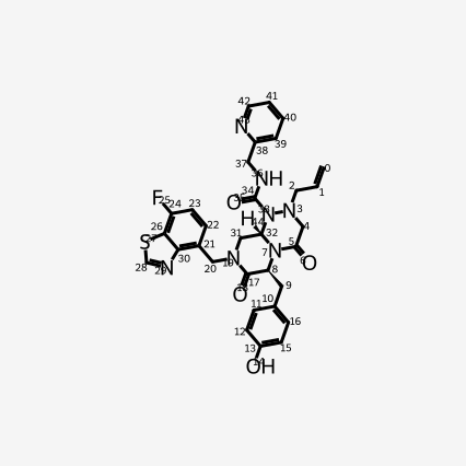 C=CCN1CC(=O)N2[C@@H](Cc3ccc(O)cc3)C(=O)N(Cc3ccc(F)c4scnc34)C[C@@H]2N1C(=O)NCc1ccccn1